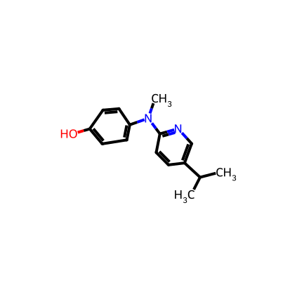 CC(C)c1ccc(N(C)c2ccc(O)cc2)nc1